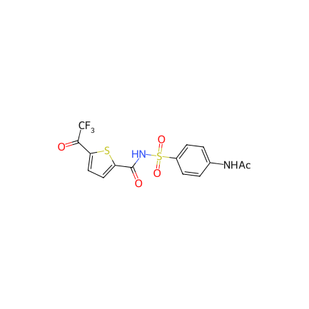 CC(=O)Nc1ccc(S(=O)(=O)NC(=O)c2ccc(C(=O)C(F)(F)F)s2)cc1